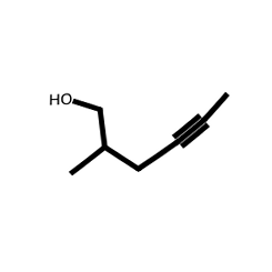 CC#CCC(C)CO